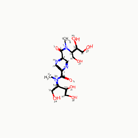 CN(C(=O)c1cnc(C(=O)N(C)C(CO)C(O)CO)cn1)C(CO)C(O)CO